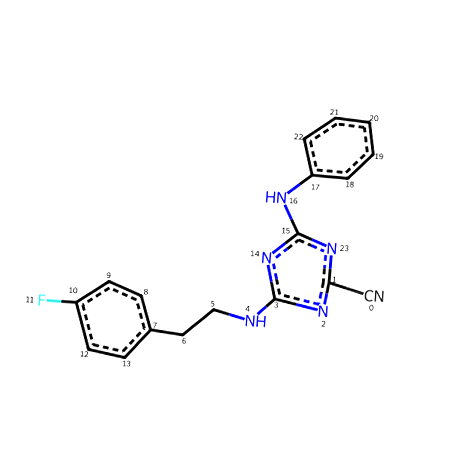 N#Cc1nc(NCCc2ccc(F)cc2)nc(Nc2ccccc2)n1